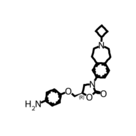 Nc1ccc(OC[C@H]2CN(c3ccc4c(c3)CCN(C3CCC3)CC4)C(=O)O2)cc1